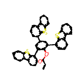 C=CC(=O)Oc1c(-c2cccc3c2sc2ccccc23)cc(-c2cccc3c2sc2ccccc23)cc1-c1cccc2c1sc1ccccc12